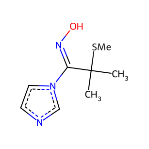 CSC(C)(C)C(=NO)n1ccnc1